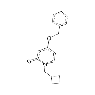 O=c1cc(OCc2ccccc2)ccn1CC1CCC1